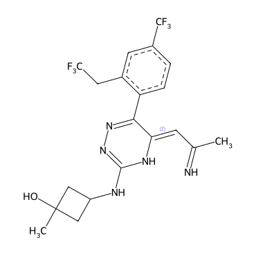 CC(=N)/C=C1\NC(NC2CC(C)(O)C2)=NN=C1c1ccc(C(F)(F)F)cc1CC(F)(F)F